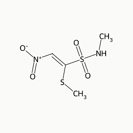 CNS(=O)(=O)/C(=C/[N+](=O)[O-])SC